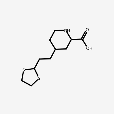 O=C(O)C1CC(CCC2SCCS2)CCN1